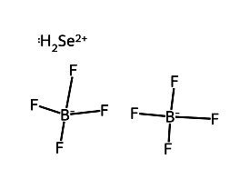 F[B-](F)(F)F.F[B-](F)(F)F.[SeH2+2]